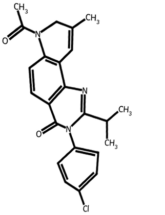 CC(=O)N1CC(C)=Cc2c1ccc1c(=O)n(-c3ccc(Cl)cc3)c(C(C)C)nc21